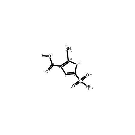 COC(=O)c1cc(S(N)(=O)=O)sc1N